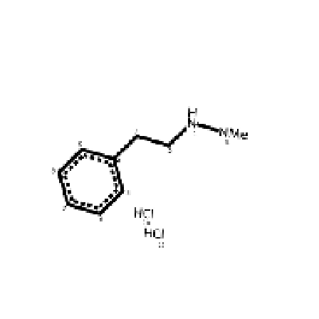 CNNCCc1ccccc1.Cl.Cl